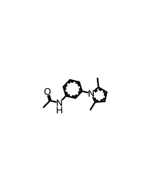 CC(=O)Nc1cccc(-n2c(C)ccc2C)c1